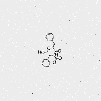 O=C(C(=Cc1ccccc1)OCO)C(=Cc1ccccc1)[SH](=O)=O